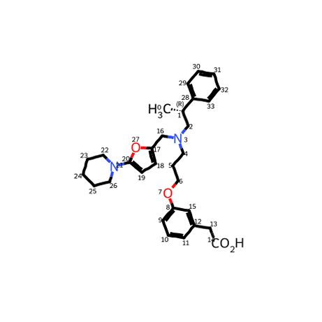 C[C@@H](CN(CCCOc1cccc(CC(=O)O)c1)Cc1ccc(N2CCCCC2)o1)c1ccccc1